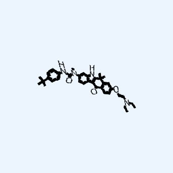 CCN(CC)CCOc1ccc2c(c1)C(C)(C)c1[nH]c3cc(N(C)C(=O)Nc4ccc(C(C)(C)C)cc4)ccc3c1C2=O